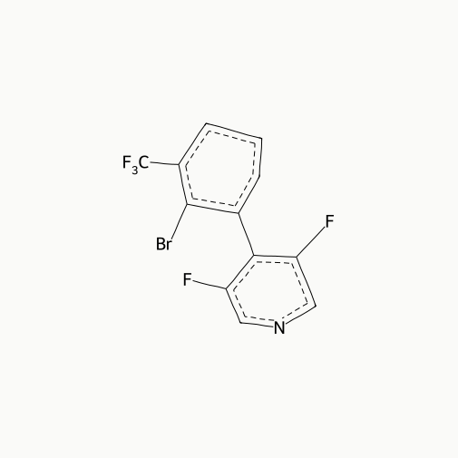 Fc1cncc(F)c1-c1cccc(C(F)(F)F)c1Br